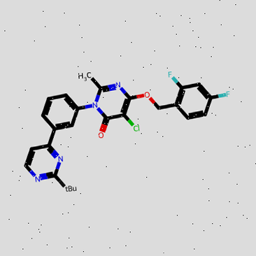 Cc1nc(OCc2ccc(F)cc2F)c(Cl)c(=O)n1-c1cccc(-c2ccnc(C(C)(C)C)n2)c1